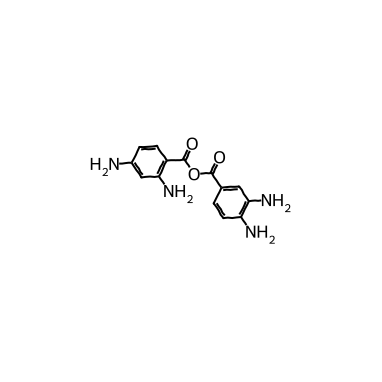 Nc1ccc(C(=O)OC(=O)c2ccc(N)c(N)c2)c(N)c1